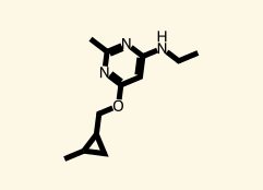 CCNc1cc(OCC2CC2C)nc(C)n1